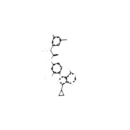 Cc1cc(NC(=O)[C@H](O)c2cc(F)cc(F)c2)ccc1-n1nc(C2CC2)c2ncnc(N)c21